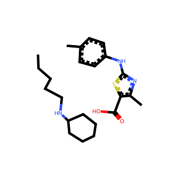 CCCCCNC1CCCCC1.Cc1ccc(Nc2nc(C)c(C(=O)O)s2)cc1